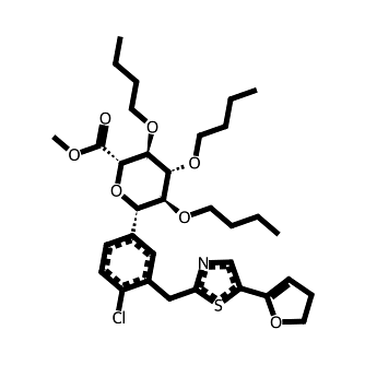 CCCCO[C@@H]1[C@@H](OCCCC)[C@H](c2ccc(Cl)c(Cc3ncc(C4=CCCO4)s3)c2)O[C@H](C(=O)OC)[C@H]1OCCCC